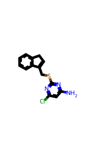 Nc1cc(Cl)nc(SCC2=CCc3ccccc32)n1